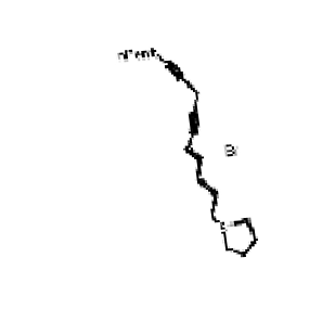 CCCCCC#CCC#CC=CC=CC[S+]1CCCC1.[Br-]